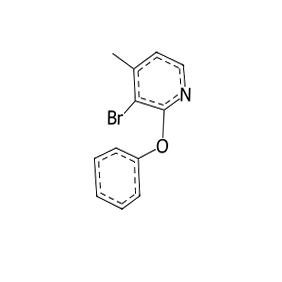 Cc1ccnc(Oc2ccccc2)c1Br